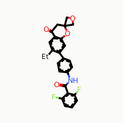 CCc1cc2c(cc1-c1ccc(NC(=O)c3c(F)cccc3F)cc1)OC1(COC1)CC2=O